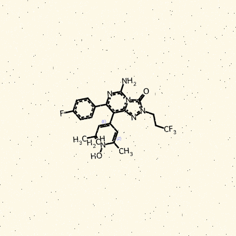 C=C(C)/C=C(\C=C(\C)NO)c1c(-c2ccc(F)cc2)nc(N)n2c(=O)n(CCC(F)(F)F)nc12